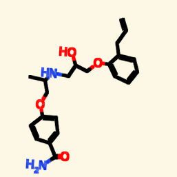 C=CCc1ccccc1OCC(O)CNC(C)COc1ccc(C(N)=O)cc1